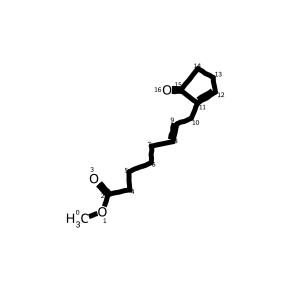 COC(=O)CCCCC=CCC1=CCCC1=O